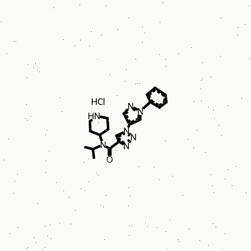 CC(C)N(C(=O)c1cn(-c2cnn(-c3ccccc3)c2)nn1)C1CCNCC1.Cl